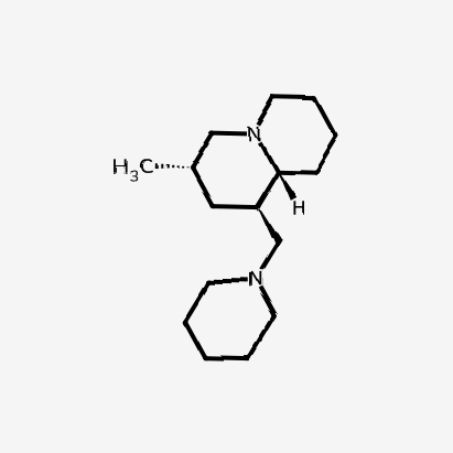 C[C@H]1C[C@H](CN2CCCCC2)[C@H]2CCCCN2C1